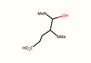 CNC(O)C(CCC(=O)O)NC